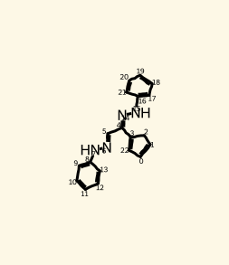 C1=CCC(C(/C=N/Nc2ccccc2)=N\Nc2ccccc2)=C1